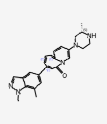 Cc1cc(C2=C\C(=O)N3C=C(N4CCN[C@@H](C)C4)C=C\C3=C/C=C/2)cc2cnn(C)c12